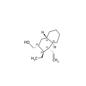 C=C[C@H]1[C@@H]2CCCC[C@H]2C[C@@H](CO)[C@@H]1CC